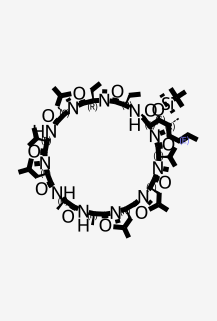 C/C=C/C[C@@H](C)[C@H](O[Si](C)(C)C(C)(C)C)[C@@H]1C(=O)N[C@H](CC)C(=O)N(C)[C@H](CC)C(=O)N(C)[C@@H](CC(C)C)C(=O)N[C@H](C(C)C)C(=O)N(C)[C@H](CC(C)C)C(=O)N[C@H](C)C(=O)N[C@H](C)C(=O)N(C)[C@H](CC(C)C)C(=O)N(C)[C@H](CC(C)C)C(=O)N(C)[C@H](C(C)C)C(=O)N1C